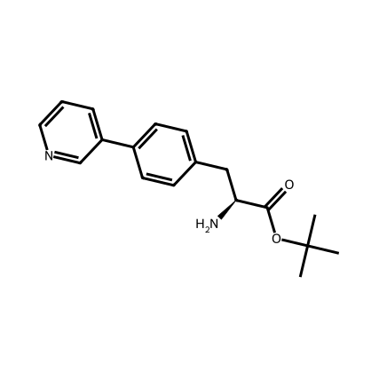 CC(C)(C)OC(=O)[C@@H](N)Cc1ccc(-c2cccnc2)cc1